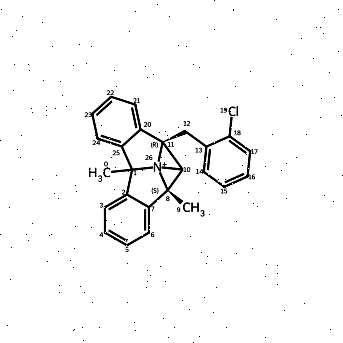 CC12c3ccccc3[C@@]3(C)C4[C@@](Cc5ccccc5Cl)(c5ccccc51)[N+]423